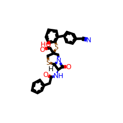 N#Cc1ccc(-c2ccccc2SC2(C(=O)O)CS[C@@H]3[C@H](NC(=O)Cc4ccccc4)C(=O)N3C2)cc1